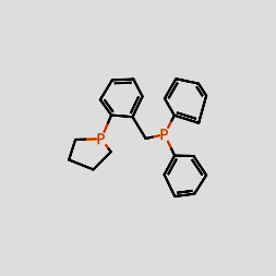 c1ccc(P(Cc2ccccc2P2CCCC2)c2ccccc2)cc1